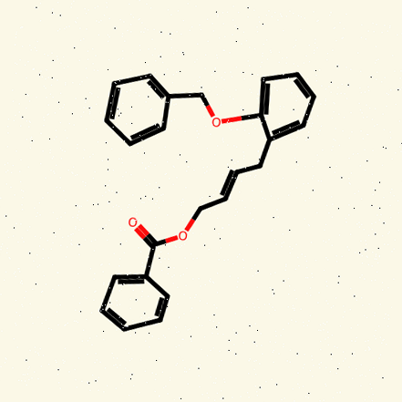 O=C(OCC=CCc1ccccc1OCc1ccccc1)c1ccccc1